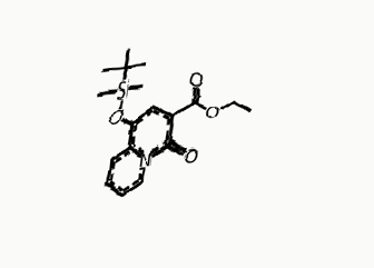 CCOC(=O)c1cc(O[Si](C)(C)C(C)(C)C)c2ccccn2c1=O